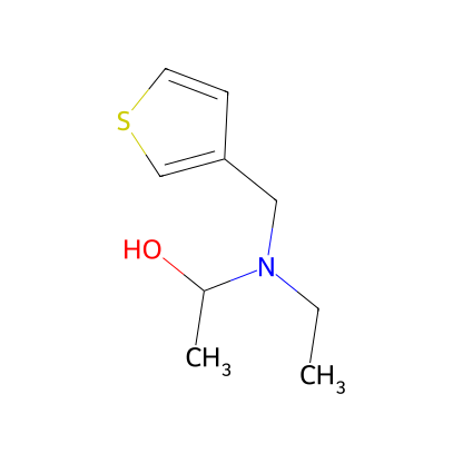 CCN(Cc1ccsc1)C(C)O